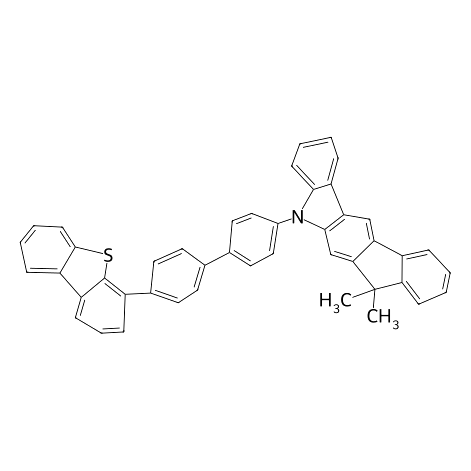 CC1(C)c2ccccc2-c2cc3c4ccccc4n(-c4ccc(-c5ccc(-c6cccc7c6sc6ccccc67)cc5)cc4)c3cc21